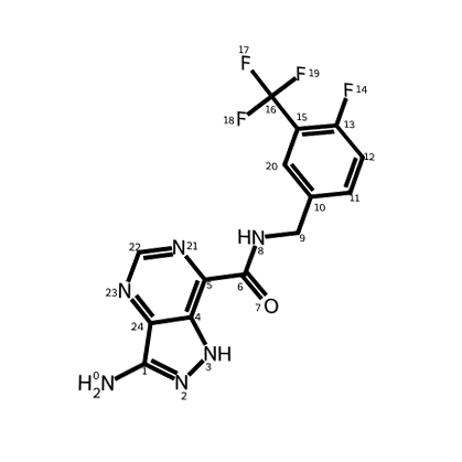 Nc1n[nH]c2c(C(=O)NCc3ccc(F)c(C(F)(F)F)c3)ncnc12